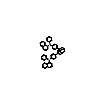 c1ccc(N(c2ccc(C34CC5CC(C3)CC(c3ccc(N(c6ccccc6)c6cccc7ccccc67)cc3)(C5)C4)cc2)c2cccc3ccccc23)cc1